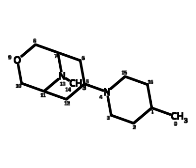 CC1CCN(C2CC3COCC(C2)N3C)CC1